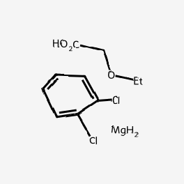 CCOCC(=O)O.Clc1ccccc1Cl.[MgH2]